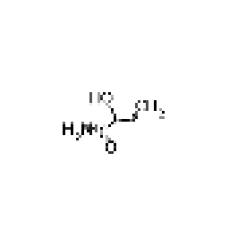 C=C[C](O)[14C](N)=O